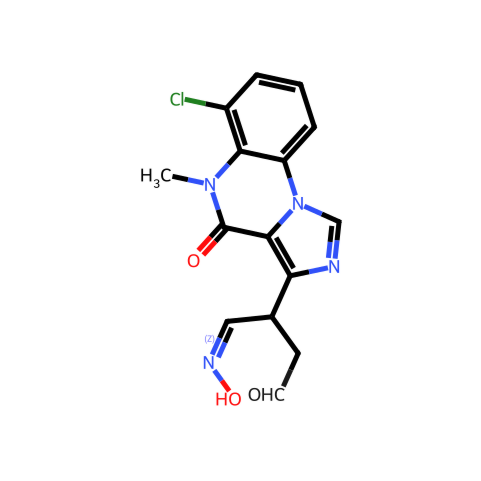 Cn1c(=O)c2c(C(/C=N\O)CC=O)ncn2c2cccc(Cl)c21